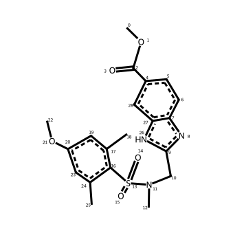 COC(=O)c1ccc2nc(CN(C)S(=O)(=O)c3c(C)cc(OC)cc3C)[nH]c2c1